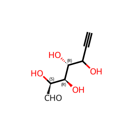 C#CC(O)[C@@H](O)[C@@H](O)[C@H](O)C=O